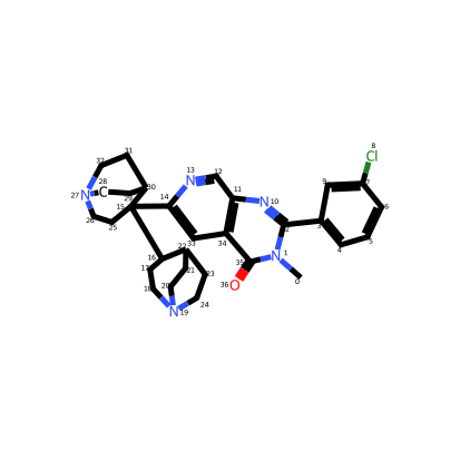 Cn1c(-c2cccc(Cl)c2)nc2cnc(C3(C4CCN5CCC4CC5)CCN4CCC3CC4)cc2c1=O